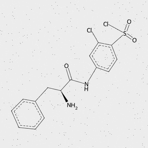 N[C@@H](Cc1ccccc1)C(=O)Nc1ccc(S(=O)(=O)Cl)c(Cl)c1